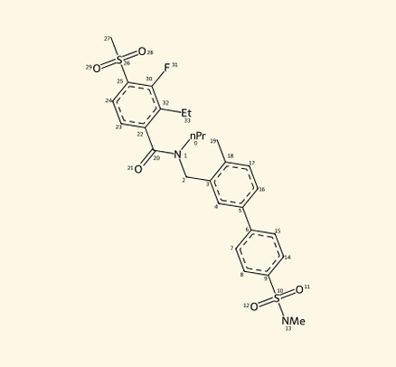 CCCN(Cc1cc(-c2ccc(S(=O)(=O)NC)cc2)ccc1C)C(=O)c1ccc(S(C)(=O)=O)c(F)c1CC